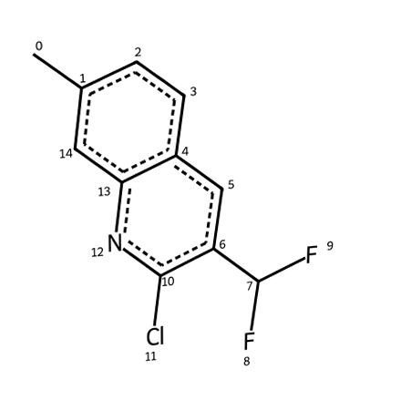 Cc1ccc2cc(C(F)F)c(Cl)nc2c1